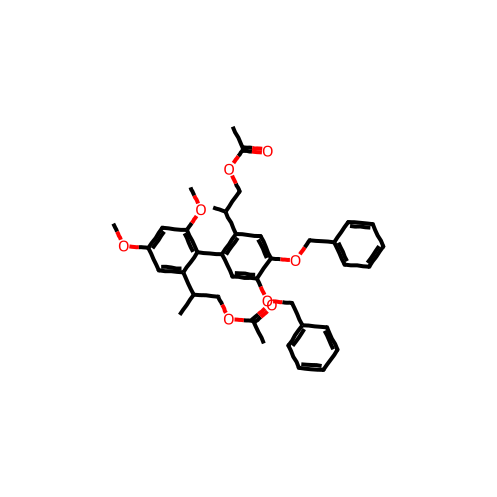 COc1cc(OC)c(-c2cc(OCc3ccccc3)c(OCc3ccccc3)cc2C(C)COC(C)=O)c(C(C)COC(C)=O)c1